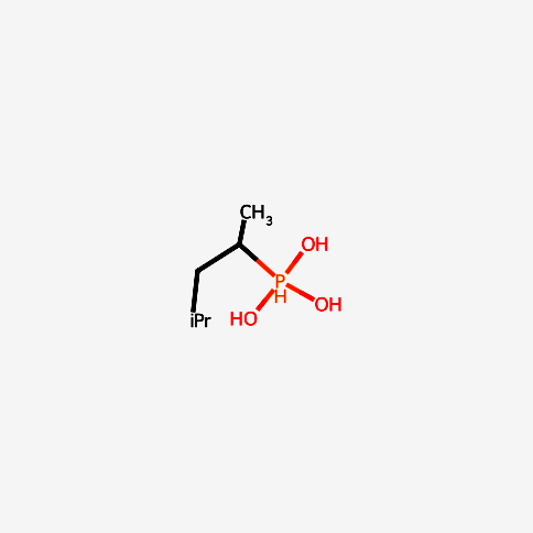 CC(C)CC(C)[PH](O)(O)O